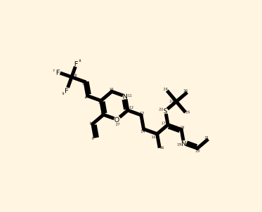 C=CC1=C(/C=C/C(F)(F)F)CN=C(CCC(C)/C(=C\N=C/C)SC(C)(C)C)O1